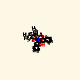 COC(=O)c1ccccc1CC[C@@H](O)[C@H](Cc1ccccc1)NC(=O)OC(C)(C)C